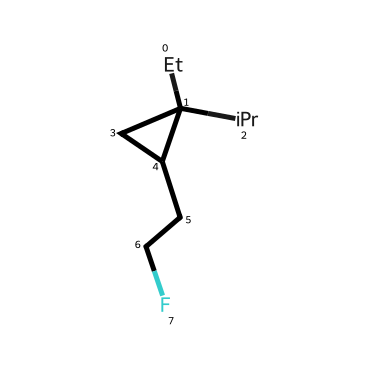 CCC1(C(C)C)CC1CCF